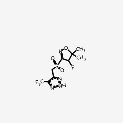 CC1(C)ON=C(S(=O)(=O)Cc2n[nH]nc2C(F)(F)F)C1F